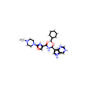 CN1CCN(c2nc(C(=O)NC(OCC3CCCCC3)c3c[nH]c4cncnc34)co2)CC1